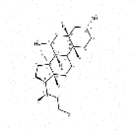 CCC[C@@H](C)[C@H]1CC[C@H]2[C@H]3C(CC[C@]12C)[C@@]1(C)CC[C@@H](O)C[C@H]1C[C@@H]3O